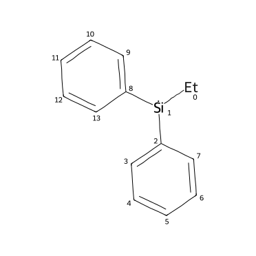 CC[Si](c1ccccc1)c1ccccc1